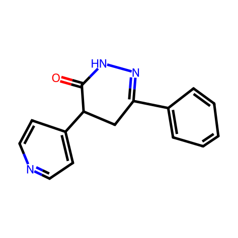 O=C1NN=C(c2ccccc2)CC1c1ccncc1